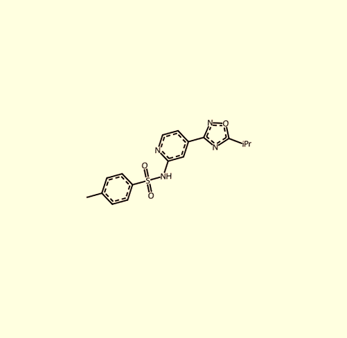 Cc1ccc(S(=O)(=O)Nc2cc(-c3noc(C(C)C)n3)ccn2)cc1